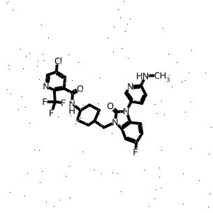 CNc1ccc(-n2c(=O)n(CC3CCC(NC(=O)c4cc(Cl)cnc4C(F)(F)F)CC3)c3cc(F)ccc32)cn1